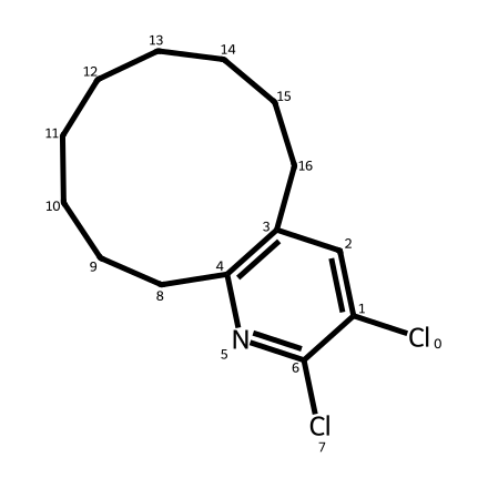 Clc1cc2c(nc1Cl)CCCCCCCCC2